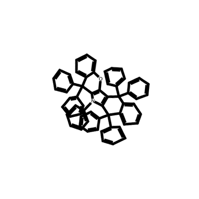 c1ccc(-n2c3c(c4c2C(c2ccccc2)(c2ccccc2)c2ccccc2C4(c2ccccc2)c2ccccc2)Oc2ccccc2C3(c2ccccc2)c2ccccc2)cc1